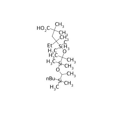 CCCC[Si](C)(C)C(C)O[Si](C)(C)C(C)(C)O[Si](C)(C)C(C)(CC)CC(C)(C)C(=O)O